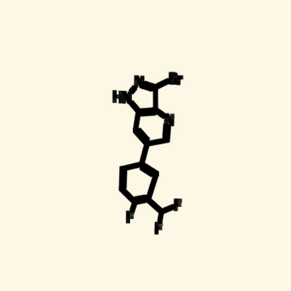 Fc1ccc(-c2cnc3c(Br)n[nH]c3c2)cc1C(F)F